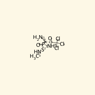 CNSP(=O)(NC(=O)C(Cl)(Cl)Cl)SN